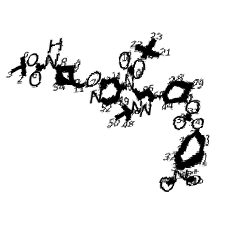 CC(C)(C)OC(=O)NC12CC(COc3cc(N(C(=O)OC(C)(C)C)c4cc([C@H]5CC[C@@H](OC(=O)Oc6ccc([N+](=O)[O-])cc6)C5)nn4C(C)(C)C)ccn3)(C1)C2